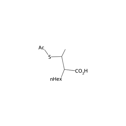 CCCCCCC(C(=O)O)C(C)SC(C)=O